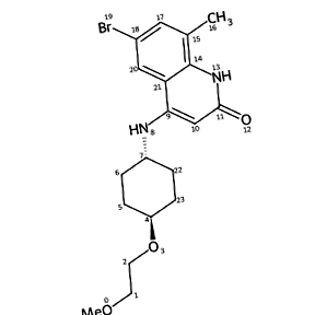 COCCO[C@H]1CC[C@H](Nc2cc(=O)[nH]c3c(C)cc(Br)cc23)CC1